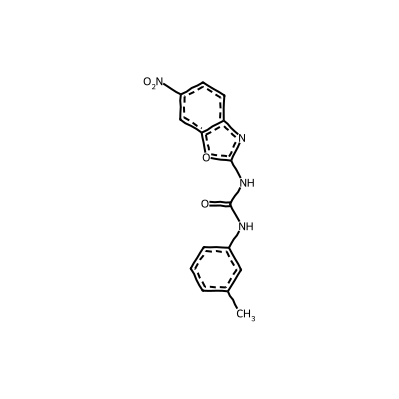 Cc1cccc(NC(=O)Nc2nc3ccc([N+](=O)[O-])cc3o2)c1